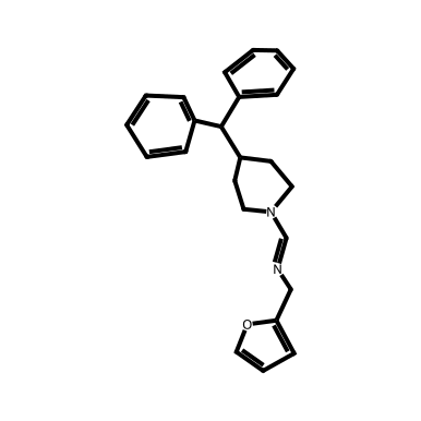 C(=NCc1ccco1)N1CCC(C(c2ccccc2)c2ccccc2)CC1